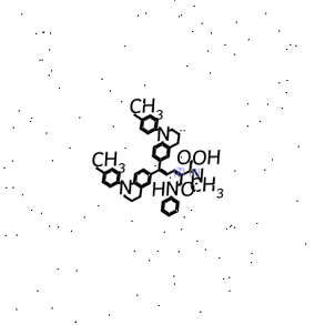 CCc1ccc(N2CCCc3cc(C(=C/C=C(C(=O)Nc4ccccc4)/C(=N\C)C(=O)O)c4ccc5c(c4)CCCN5c4ccc(CC)cc4)ccc32)cc1